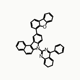 C1=c2nc(-n3c4ccc(-c5cccc6c5oc5ccccc56)cc4c4c5ccccc5ccc43)nc(-c3ccccc3)c2=CCC1